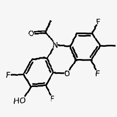 CC(=O)N1c2cc(F)c(C)c(F)c2Oc2c1cc(F)c(O)c2F